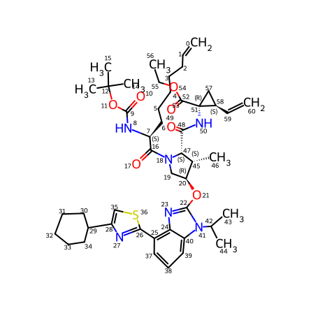 C=CCCCCC[C@H](NC(=O)OC(C)(C)C)C(=O)N1C[C@H](Oc2nc3c(-c4nc(C5CCCCC5)cs4)cccc3n2C(C)C)[C@@H](C)[C@H]1C(=O)N[C@]1(C(=O)OCC)C[C@H]1C=C